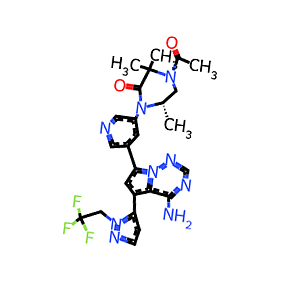 CC(=O)N1C[C@H](C)N(c2cncc(-c3cc(-c4ccnn4CC(F)(F)F)c4c(N)ncnn34)c2)C(=O)C1(C)C